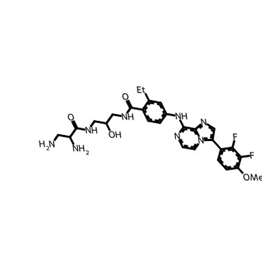 CCc1cc(Nc2nccn3c(-c4ccc(OC)c(F)c4F)cnc23)ccc1C(=O)NCC(O)CNC(=O)C(N)CN